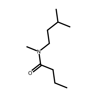 CCCC(=O)N(C)CCC(C)C